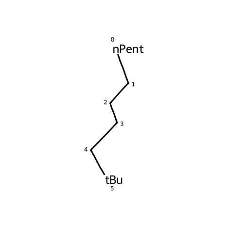 [CH2]CCCCCCCCC(C)(C)C